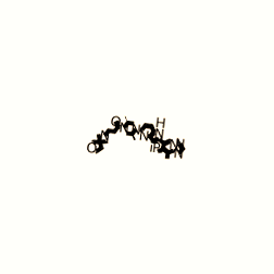 Cc1c(-c2[nH]c3ccc(N4C[C@@H](C)N(C(=O)CCN5CC6(CCOC6)C5)C[C@@H]4C)nc3c2C(C)C)cn2ncnc2c1C